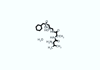 CC(C)[C@H](N)C(=O)[AsH][C@@H](C)C(=O)NC[C@@H](O)CP(=O)(O)CC1CCCCC1.O